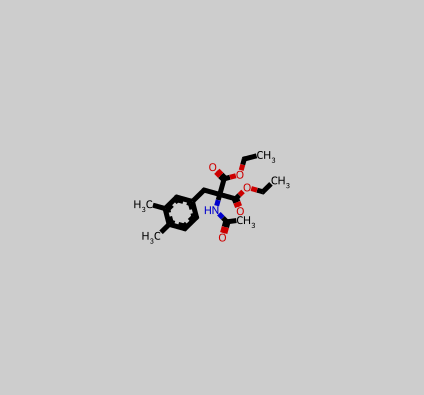 CCOC(=O)C(Cc1ccc(C)c(C)c1)(NC(C)=O)C(=O)OCC